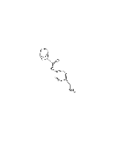 NCc1ccc(OC(=O)C2CC3C=CC2C3)cc1